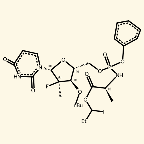 CCCCO[C@@H]1[C@@H](COP(=O)(N[C@@H](C)C(=O)OC(I)CC)Oc2ccccc2)O[C@@H](n2ccc(=O)[nH]c2=O)[C@]1(C)F